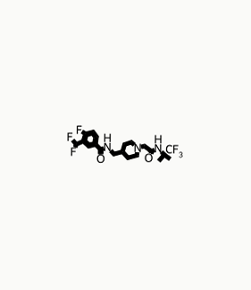 CC(C)(NC(=O)CN1CCC(CNC(=O)c2ccc(F)c(C(F)F)c2)CC1)C(F)(F)F